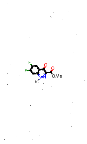 CCn1nc(C(=O)OC)c(=O)c2cc(F)c(F)cc21